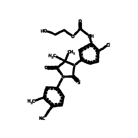 Cc1cc(N2C(=O)C(C)(C)N(c3ccc(Cl)c(NC(=O)OCCO)c3)C2=S)ccc1C#N